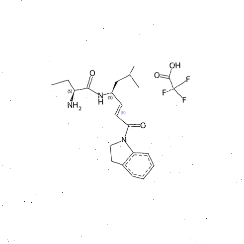 CC[C@H](N)C(=O)N[C@H](/C=C/C(=O)N1CCc2ccccc21)CC(C)C.O=C(O)C(F)(F)F